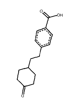 O=C1CCC(CCc2ccc(C(=O)O)cc2)CC1